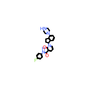 O=C(Nc1ccc(F)cc1)c1cccn(C2CCc3c2cccc3N2CCNCC2)c1=O